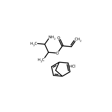 C1=CC2=CC=C1C2.C=CC(=O)OC(C)C(C)N.Cl